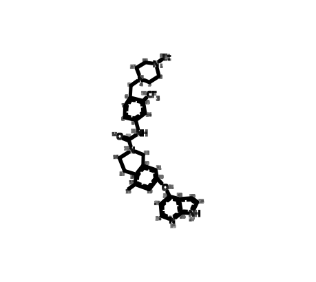 CCN1CCN(Cc2ccc(NC(=O)N3CCc4c(C)cc(Oc5ccnc6[nH]ccc56)cc4C3)cc2C(F)(F)F)CC1